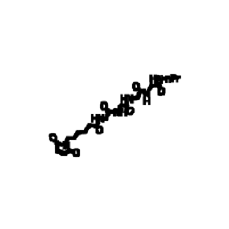 CCCNC(=O)CNC(=O)CNC(=O)CNC(=O)CNC(=O)CCCCCN1C(=O)C=CC1=O